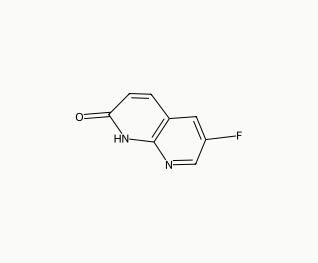 O=c1ccc2cc(F)cnc2[nH]1